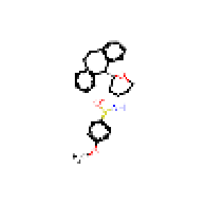 [O-][S+](N[C@H]1CCO[C@@H](C2c3ccccc3CCc3ccccc32)C1)c1ccc(OC(F)(F)F)cc1